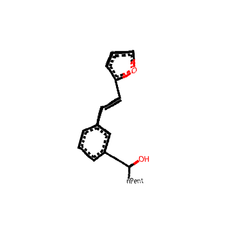 CCCCCC(O)c1cccc(C=Cc2ccco2)c1